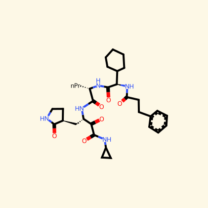 CCC[C@H](NC(=O)[C@H](NC(=O)CCc1ccccc1)C1CCCCC1)C(=O)N[C@@H](C[C@@H]1CCNC1=O)C(=O)C(=O)NC1CC1